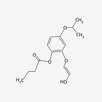 CCCC(=O)Oc1ccc(OC(C)C)cc1OC=CO